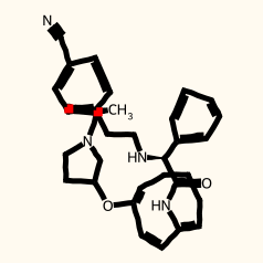 CC(=O)N1CCC(OC2=C/CCC/C=C(NC(=O)[C@@H](NCCc3ccc(C#N)cc3)c3ccccc3)/C=C\2)C1